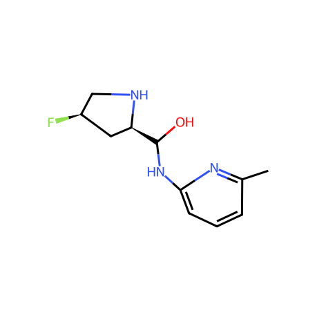 Cc1cccc(NC(O)[C@H]2C[C@@H](F)CN2)n1